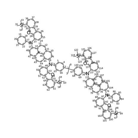 CC(C)(c1ccc(N(c2ccc3ccc4c(N(c5ccccc5)c5cccc6c5oc5c([Si](C)(C)C)cccc56)ccc5ccc2c3c54)c2cccc3c2oc2c([Si](C)(C)C)cccc23)cc1)c1ccc(N(c2ccc3ccc4c(N(c5ccccc5)c5cccc6c5oc5c([Si](C)(C)C)cccc56)ccc5ccc2c3c54)c2cccc3c2oc2c([Si](C)(C)C)cccc23)cc1